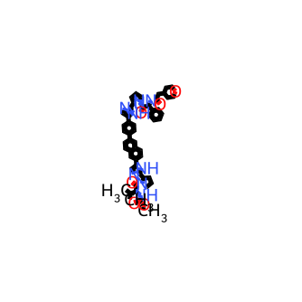 COC(=O)NC(C(=O)N1CCCC1c1ncc(-c2ccc3cc(-c4ccc(-c5cnc(C6CCCN6C(=O)C(NC(=O)CC6CCOCC6)c6ccccc6)[nH]5)cc4)ccc3c2)[nH]1)C(C)C